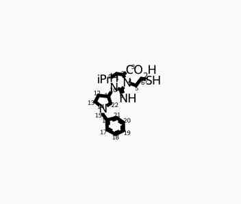 CC(C)CC(C(=O)O)N(CCS)C(=N)NC1CCN(Cc2ccccc2)C1